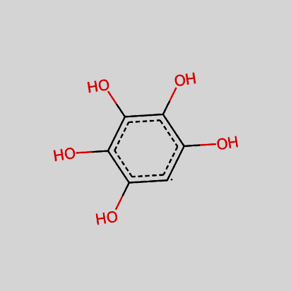 Oc1[c]c(O)c(O)c(O)c1O